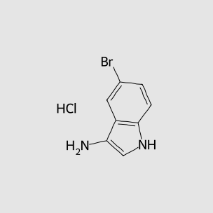 Cl.Nc1c[nH]c2ccc(Br)cc12